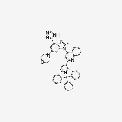 Cc1nc2c(-c3nnc[nH]3)cc(N3CCOCC3)cc2n1-c1cc(-c2cnn(C(c3ccccc3)(c3ccccc3)c3ccccc3)c2)nc2ccccc12